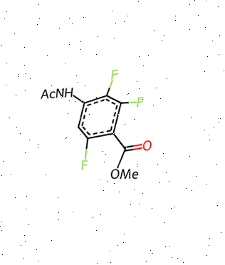 COC(=O)c1c(F)cc(NC(C)=O)c(F)c1F